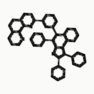 c1ccc(-c2nn3c(-c4ccccc4)c(-c4cccc(-c5ccc6ccc7cccnc7c6n5)c4)c4ccccc4c3c2-c2ccccc2)cc1